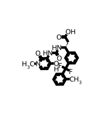 Cc1ccccc1C(F)(F)c1cccc([C@@H](CC(=O)O)NC(=O)Nc2c(O)ccn(C)c2=O)c1